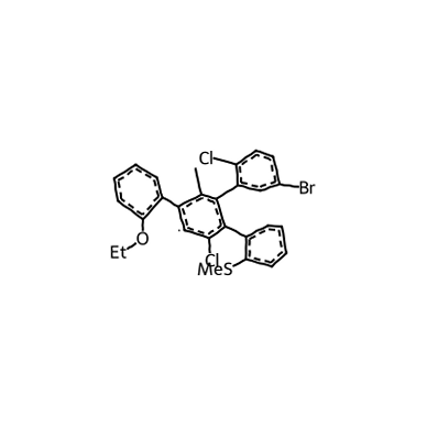 CCOc1ccccc1-c1[c]c(Cl)c(-c2ccccc2SC)c(-c2cc(Br)ccc2Cl)c1C